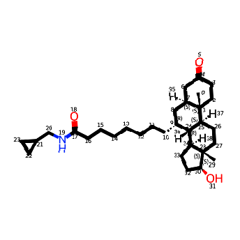 C[C@]12CCC(=O)C[C@@H]1C[C@@H](CCCCCCCC(=O)NCC1CC1)[C@@H]1[C@@H]2CC[C@]2(C)[C@@H](O)CC[C@@H]12